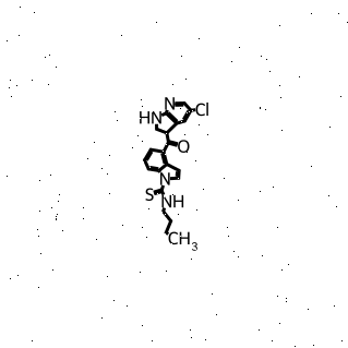 CCCCNC(=S)n1ccc2c(C(=O)C3CNc4ncc(Cl)cc43)cccc21